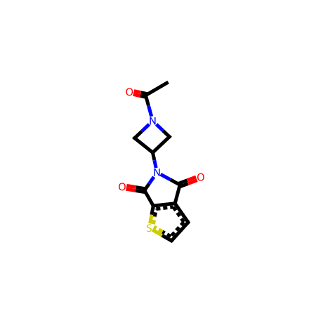 CC(=O)N1CC(N2C(=O)c3ccsc3C2=O)C1